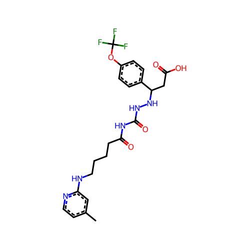 Cc1ccnc(NCCCCC(=O)NC(=O)NNC(CC(=O)O)c2ccc(OC(F)(F)F)cc2)c1